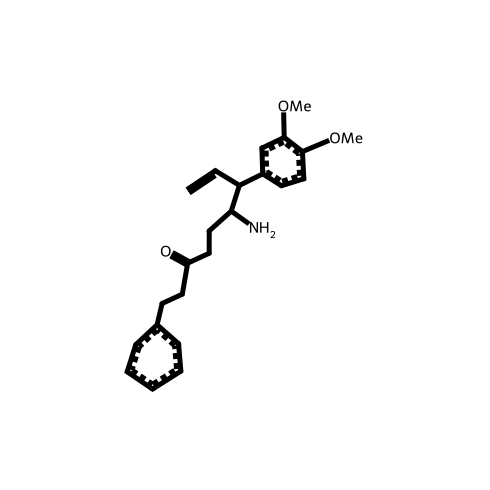 C=CC(c1ccc(OC)c(OC)c1)C(N)CCC(=O)CCc1ccccc1